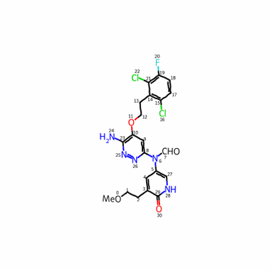 COCCc1cc(N(C=O)c2cc(OCCc3c(Cl)ccc(F)c3Cl)c(N)nn2)c[nH]c1=O